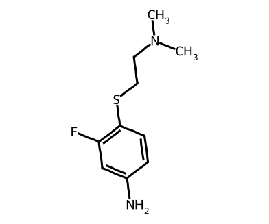 CN(C)CCSc1ccc(N)cc1F